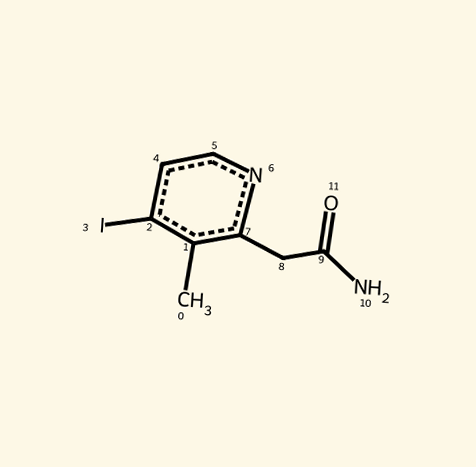 Cc1c(I)ccnc1CC(N)=O